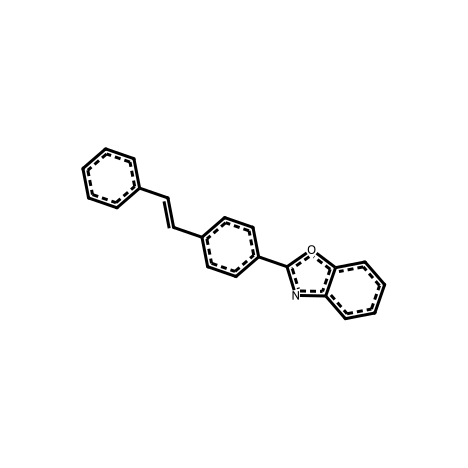 C(=Cc1ccc(-c2nc3ccccc3o2)cc1)c1ccccc1